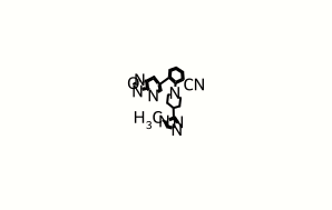 Cn1cnnc1C1CCN(c2c(C#N)cccc2-c2cnc3nonc3c2)CC1